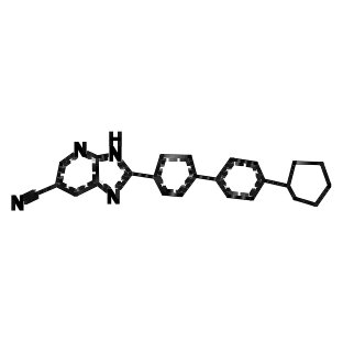 N#Cc1cnc2[nH]c(-c3ccc(-c4ccc(C5CCCCC5)cc4)cc3)nc2c1